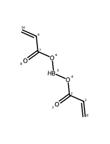 C=CC(=O)OBOC(=O)C=C